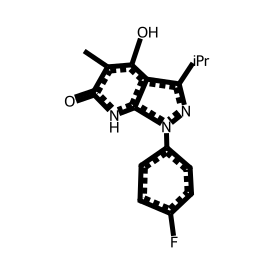 Cc1c(O)c2c(C(C)C)nn(-c3ccc(F)cc3)c2[nH]c1=O